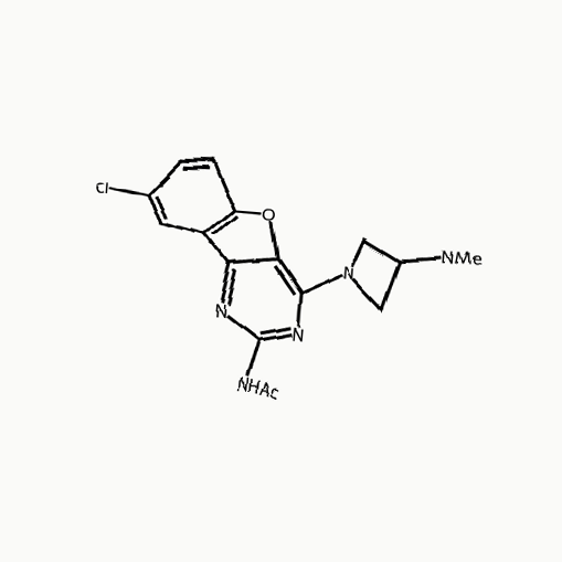 CNC1CN(c2nc(NC(C)=O)nc3c2oc2ccc(Cl)cc23)C1